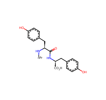 CCCN[C@@H](Cc1ccc(O)cc1)C(=O)N[C@@H](Cc1ccc(O)cc1)C(=O)O